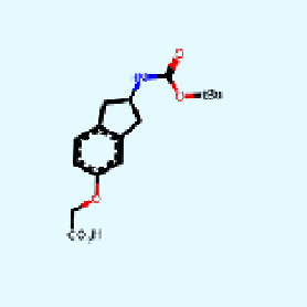 CC(C)(C)OC(=O)NC1Cc2ccc(OCC(=O)O)cc2C1